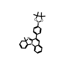 CC12CC=CC=C1N1C(=N2)C(c2ccc(B3OC(C)(C)C(C)(C)O3)cc2)=Cc2ccccc21